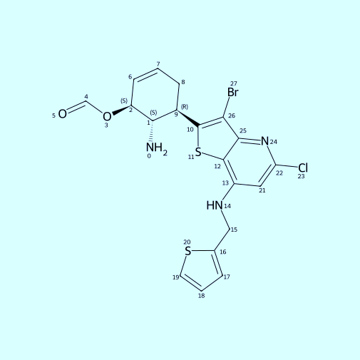 N[C@@H]1[C@@H](OC=O)C=CC[C@H]1c1sc2c(NCc3cccs3)cc(Cl)nc2c1Br